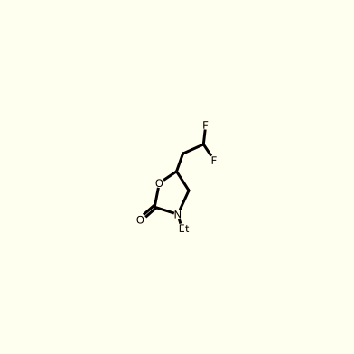 CCN1CC(CC(F)F)OC1=O